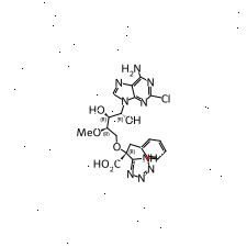 CO[C@H](CO[C@@](Cc1ccccc1)(C(=O)O)c1nnn[nH]1)[C@@H](O)[C@@H](O)n1cnc2c(N)nc(Cl)nc21